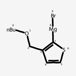 CCCCOCc1ccs[c]1[Mg][Br]